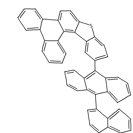 c1ccc2c(-c3c4ccccc4c(-c4ccc5sc6ccc7c8ccccc8c8ccccc8c7c6c5c4)c4ccccc34)cccc2c1